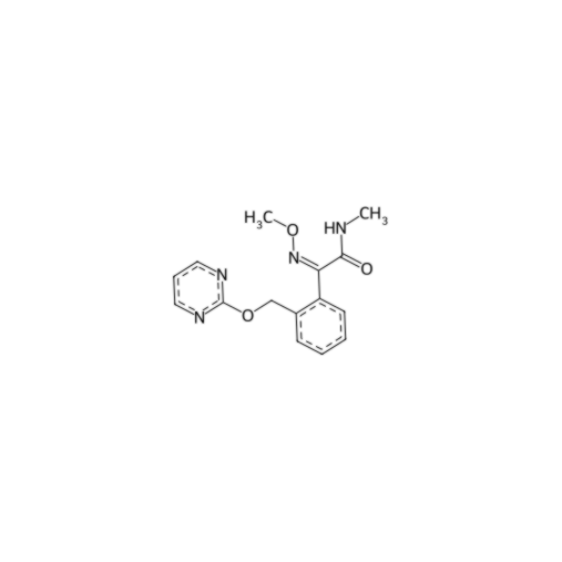 CNC(=O)C(=NOC)c1ccccc1COc1ncccn1